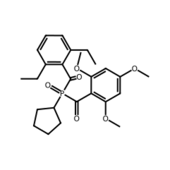 CCc1cccc(CC)c1C(=O)P(=O)(C(=O)c1c(OC)cc(OC)cc1OC)C1CCCC1